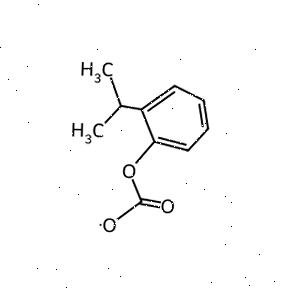 CC(C)c1ccccc1OC([O])=O